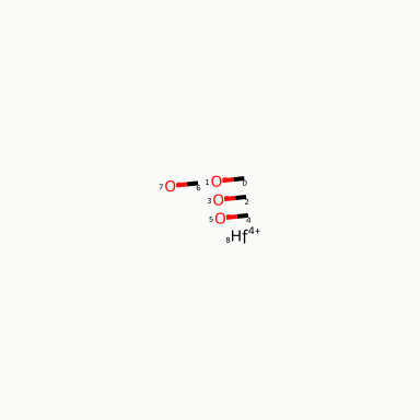 C[O-].C[O-].C[O-].C[O-].[Hf+4]